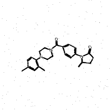 Cc1ccc(N2CCN(C(=O)c3ccc(N4C(=O)CCC4C)cc3)CC2)c(C)c1